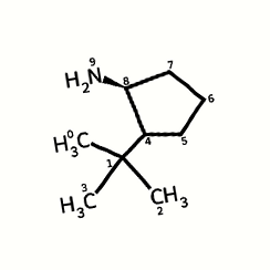 CC(C)(C)C1CCC[C@@H]1N